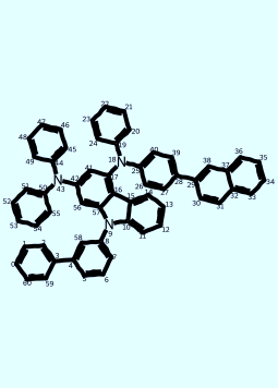 c1ccc(-c2cccc(-n3c4ccccc4c4c(N(c5ccccc5)c5ccc(-c6ccc7ccccc7c6)cc5)cc(N(c5ccccc5)c5ccccc5)cc43)c2)cc1